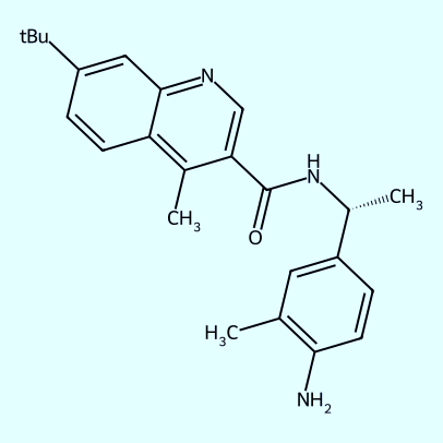 Cc1cc([C@@H](C)NC(=O)c2cnc3cc(C(C)(C)C)ccc3c2C)ccc1N